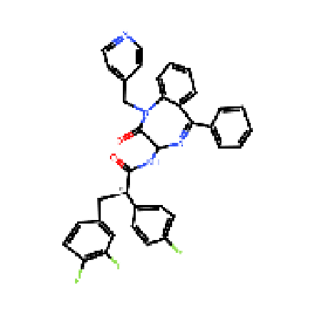 O=C(NC1N=C(c2ccccc2)c2ccccc2N(Cc2ccncc2)C1=O)[C@H](Cc1ccc(F)c(F)c1)c1ccc(F)cc1